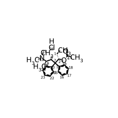 CC[C@H](OC(C)=O)C(C[C@@H](C)N(C)C)(c1ccccc1)c1ccccc1.Cl